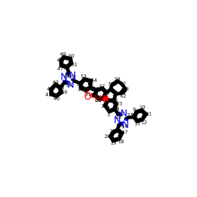 Oc1ccc(-c2nc(-c3ccccc3)nc(-c3ccccc3)n2)cc1C1=C(c2ccc3oc4cc(-c5nc(-c6ccccc6)nc(-c6ccccc6)n5)ccc4c3c2)C=CCC#C1